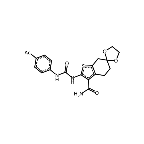 CC(=O)c1ccc(NC(=O)Nc2sc3c(c2C(N)=O)CCC2(C3)OCCO2)cc1